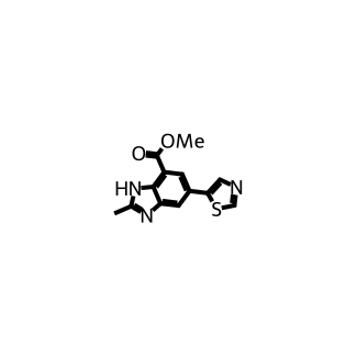 COC(=O)c1cc(-c2cncs2)cc2nc(C)[nH]c12